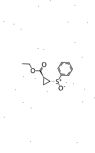 CCOC(=O)[C@@H]1C[C@H]1[S+]([O-])c1ccccc1